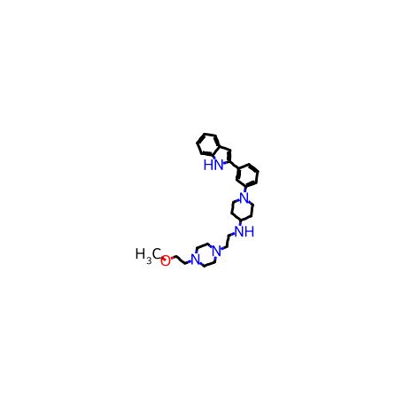 COCCN1CCN(CCNC2CCN(c3cccc(-c4cc5ccccc5[nH]4)c3)CC2)CC1